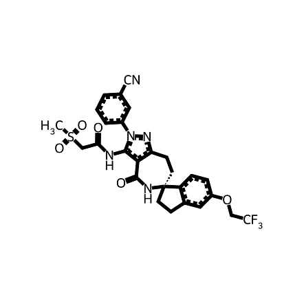 CS(=O)(=O)CC(=O)Nc1c2c(nn1-c1cccc(C#N)c1)CC[C@]1(CCc3cc(OCC(F)(F)F)ccc31)NC2=O